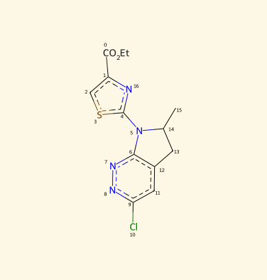 CCOC(=O)c1csc(N2c3nnc(Cl)cc3CC2C)n1